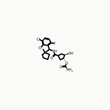 CC1(C(NC(=O)C2C[C@@H](O)[C@H](OC(N)=O)C2)c2c(F)ccc(Cl)c2Cl)CCCC1